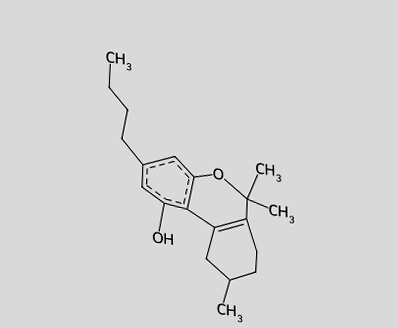 CCCCc1cc(O)c2c(c1)OC(C)(C)C1=C2CC(C)CC1